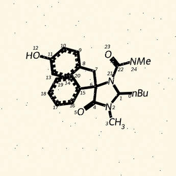 CCCCC1N(C)C(=O)C(Cc2ccc(O)cc2)(c2ccccc2)N1C(=O)NC